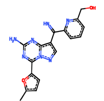 Cc1ccc(-c2nc(N)nc3c(C(=N)c4cccc(CO)n4)cnn23)o1